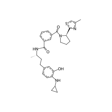 Cc1csc([C@H]2CCCN2C(=O)c2cccc(C(=O)N[C@@H](C)CCc3ccc(NC4CC4)c(O)c3)c2)n1